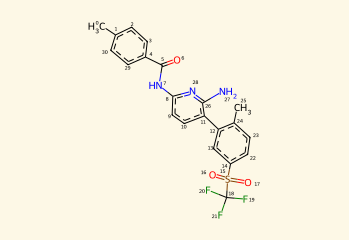 Cc1ccc(C(=O)Nc2ccc(-c3cc(S(=O)(=O)C(F)(F)F)ccc3C)c(N)n2)cc1